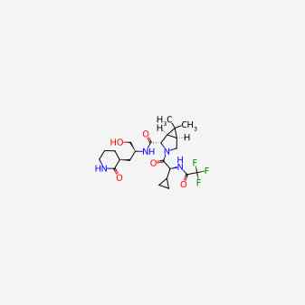 CC1(C)[C@@H]2[C@@H](C(=O)N[C@H](CO)C[C@@H]3CCCNC3=O)N(C(=O)[C@@H](NC(=O)C(F)(F)F)C3CC3)C[C@@H]21